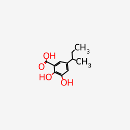 CCC(C)c1cc(O)c(O)c(C(=O)O)c1